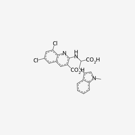 Cn1cc(CC(Nc2nc3c(Cl)cc(Cl)cc3cc2C(=O)O)C(=O)O)c2ccccc21